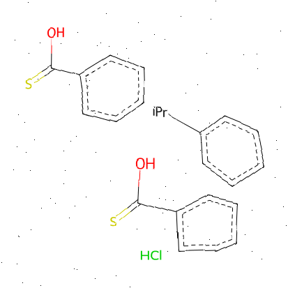 CC(C)c1ccccc1.Cl.OC(=S)c1ccccc1.OC(=S)c1ccccc1